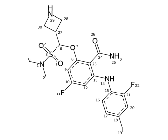 CN(C)S(=O)(=O)C(Oc1cc(F)cc(Nc2ccc(I)cc2F)c1C(N)=O)C1CNC1